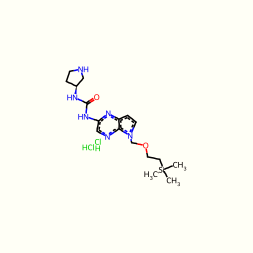 C[Si](C)(C)CCOCn1ccc2nc(NC(=O)N[C@H]3CCNC3)cnc21.Cl.Cl